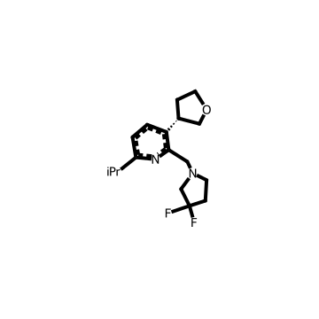 CC(C)c1ccc([C@@H]2CCOC2)c(CN2CCC(F)(F)C2)n1